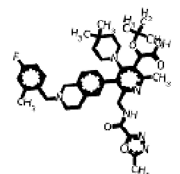 Cc1nnc(C(=O)NCc2nc(C)c(C(OC(C)(C)C)C(=O)O)c(N3CCC(C)(C)CC3)c2-c2ccc3c(c2)CCN(Cc2ccc(F)cc2C)C3)o1